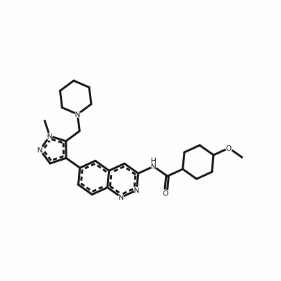 COC1CCC(C(=O)Nc2cc3cc(-c4cnn(C)c4CN4CCCCC4)ccc3nn2)CC1